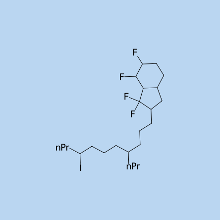 CCCC(I)CCCC(CCC)CCCC1CC2CCC(F)C(F)C2C1(F)F